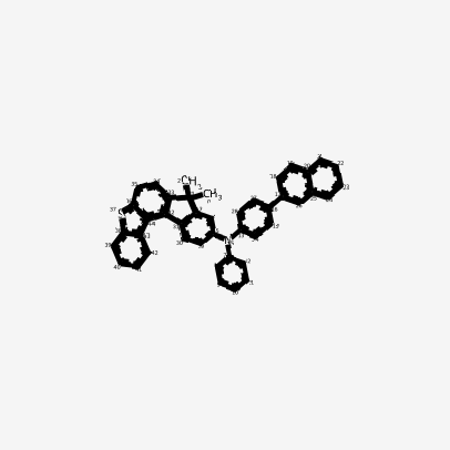 CC1(C)c2cc(N(c3ccccc3)c3ccc(-c4ccc5ccccc5c4)cc3)ccc2-c2c1ccc1sc3ccccc3c21